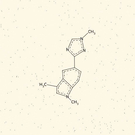 Cc1cn(C)c2ccc(-c3ncn(C)n3)cc12